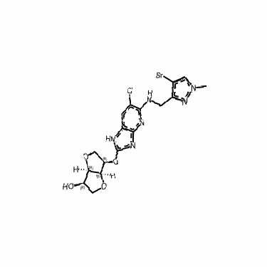 Cn1cc(Br)c(CNc2nc3nc(O[C@@H]4CO[C@H]5[C@@H]4OC[C@H]5O)[nH]c3cc2Cl)n1